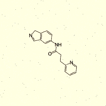 O=C(CCc1ccccn1)Nc1ccc2c(c1)C=NC2